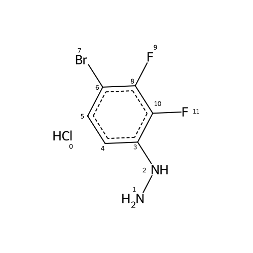 Cl.NNc1ccc(Br)c(F)c1F